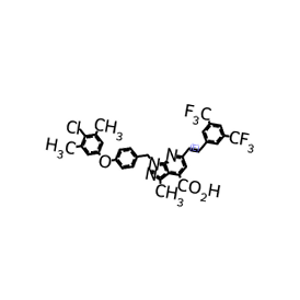 Cc1cc(Oc2ccc(Cn3nc(C)c4c(C(=O)O)cc(/C=C/c5cc(C(F)(F)F)cc(C(F)(F)F)c5)nc43)cc2)cc(C)c1Cl